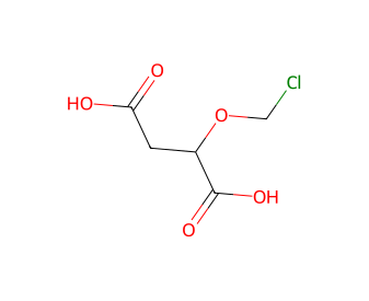 O=C(O)CC(OCCl)C(=O)O